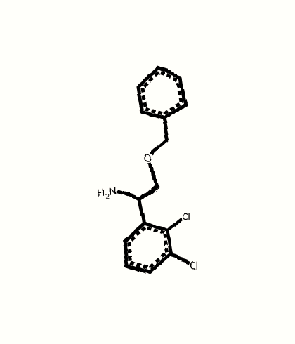 NC(COCc1ccccc1)c1cccc(Cl)c1Cl